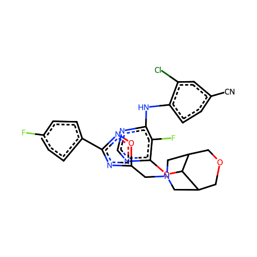 N#Cc1ccc(Nc2ncnc(OC3C4COCC3CN(Cc3nc(-c5ccc(F)cc5)no3)C4)c2F)c(Cl)c1